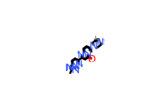 Cc1nc2ccc(-c3cc(=O)n4cc(N5CCN(C)[C@@H](C)C5)ccc4n3)nn2n1